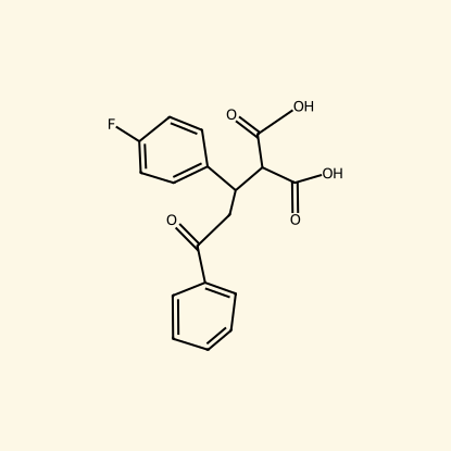 O=C(CC(c1ccc(F)cc1)C(C(=O)O)C(=O)O)c1ccccc1